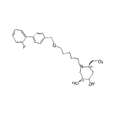 OC[C@H]1CC(O)[C@@H](O)CN1CCCCCOCc1ccc(-c2ccccc2F)cc1